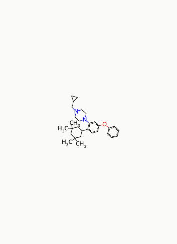 CC1(C)CC(c2ccc(Oc3ccccc3)cc2N2CCN(CC3CC3)CC2)CC(C)(C)C1